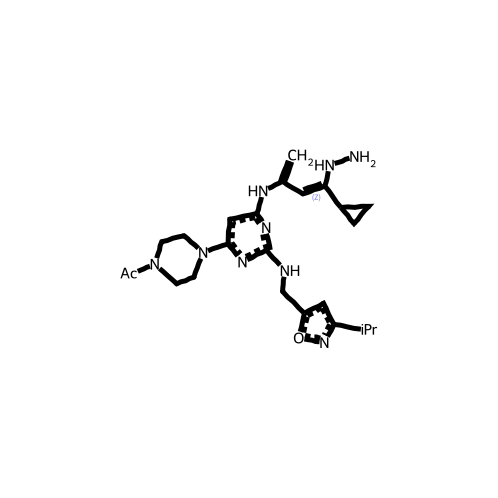 C=C(/C=C(\NN)C1CC1)Nc1cc(N2CCN(C(C)=O)CC2)nc(NCc2cc(C(C)C)no2)n1